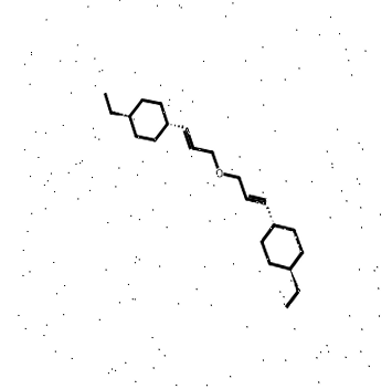 CC[C@H]1CC[C@H](/C=C/COC/C=C/[C@H]2CC[C@H](CC)CC2)CC1